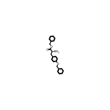 N[C@@H](Cc1ccc(OCc2ccccc2)cc1)C(=O)OCc1ccccc1